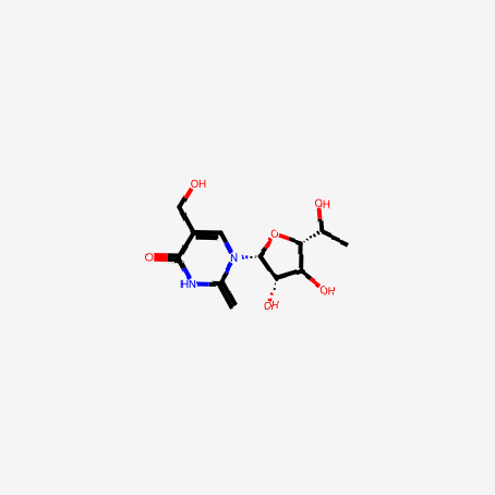 C=C1NC(=O)C(CO)=CN1[C@@H]1O[C@H](C(C)O)C(O)[C@@H]1O